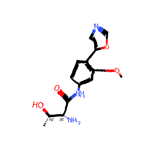 COc1cc(NC(=O)[C@H](N)[C@H](C)O)ccc1-c1cnco1